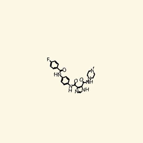 CN1CCN(NC(=O)c2[nH]cnc2C(=O)Nc2ccc(NC(=O)c3ccc(F)cc3)cc2)CC1